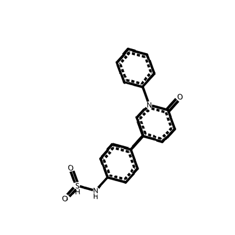 O=c1ccc(-c2ccc(N[SH](=O)=O)cc2)cn1-c1ccccc1